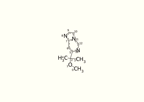 COC(C)(C)c1cc2nccn2cn1